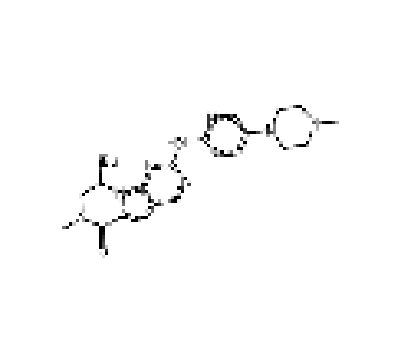 CC[C@H](C)C1CN(C)C(=O)c2cc3cnc(Nc4ccc(N5CCN(C)CC5)cn4)nc3n21